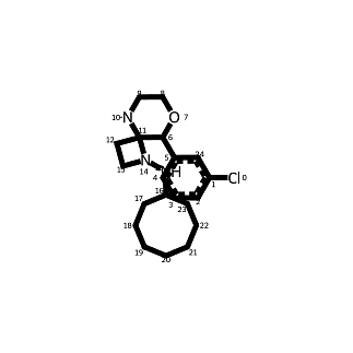 Clc1cccc(C2OCC[N]C23CCN3NC2CCCCCCC2)c1